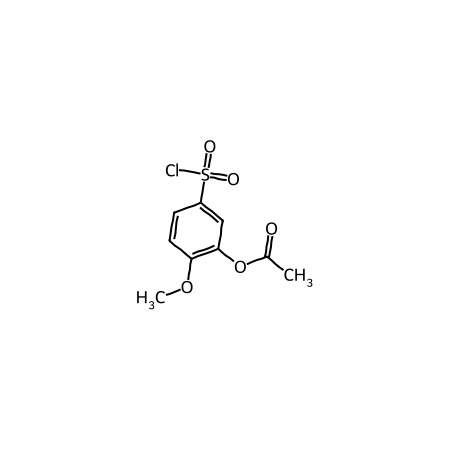 COc1ccc(S(=O)(=O)Cl)cc1OC(C)=O